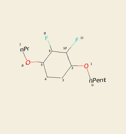 CCCCCOC1CCC(OCCC)C(F)C1F